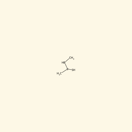 CBB(C)S